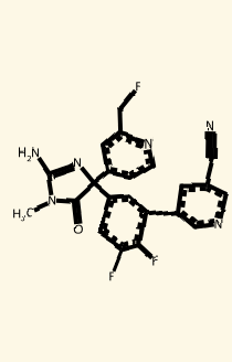 CN1C(=O)C(c2ccnc(CF)c2)(c2cc(F)c(F)c(-c3cncc(C#N)c3)c2)N=C1N